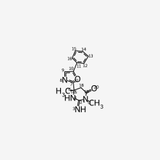 CN1C(=N)N[C@](C)(c2ncc(-c3ccccc3)o2)CC1=O